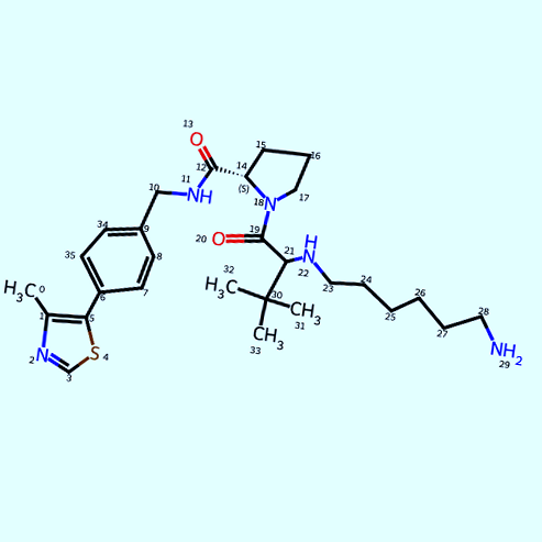 Cc1ncsc1-c1ccc(CNC(=O)[C@@H]2CCCN2C(=O)C(NCCCCCCN)C(C)(C)C)cc1